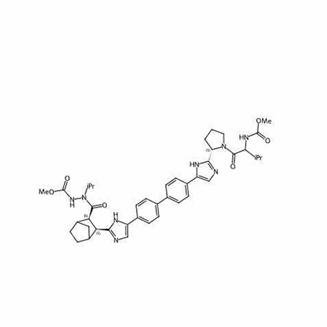 COC(=O)NC(C(=O)N1CCC[C@H]1c1ncc(-c2ccc(-c3ccc(-c4cnc([C@H]5C6CCC(C6)[C@H]5C(=O)N(NC(=O)OC)C(C)C)[nH]4)cc3)cc2)[nH]1)C(C)C